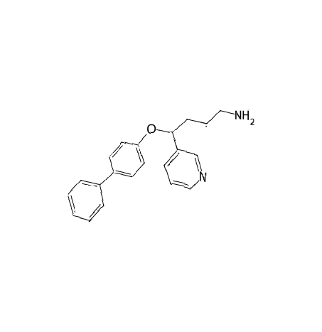 NC[CH]CC(Oc1ccc(-c2ccccc2)cc1)c1cccnc1